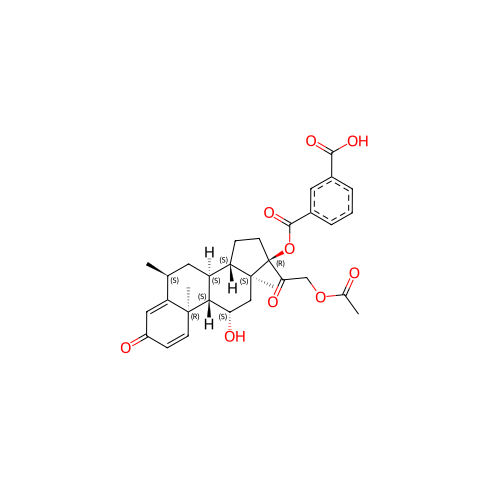 CC(=O)OCC(=O)[C@@]1(OC(=O)c2cccc(C(=O)O)c2)CC[C@H]2[C@@H]3C[C@H](C)C4=CC(=O)C=C[C@]4(C)[C@H]3[C@@H](O)C[C@@]21C